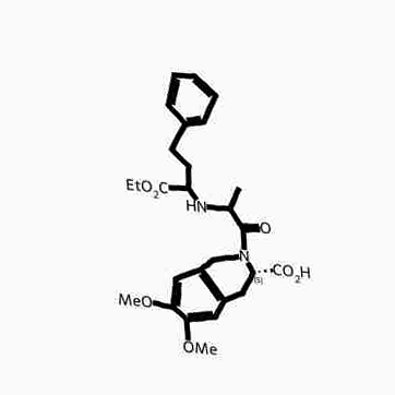 CCOC(=O)C(CCc1ccccc1)NC(C)C(=O)N1Cc2cc(OC)c(OC)cc2C[C@H]1C(=O)O